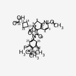 COc1ccc2c(n1)CCN(C(=O)[C@H]1C[C@@H](C(=O)O)C1)C2C(=O)Nc1cc(F)c([Si](C)(C)C)c(F)c1